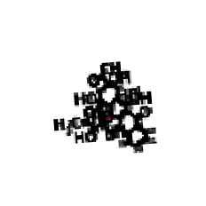 CC(=O)[C@]1(O)Cc2c(O)c3c(c(O)c2[C@](O)([C@H]2C[C@H](N)[C@@H](O)[C@@H](C)O2)C1)C(=O)c1ccccc1C3=O.Cl